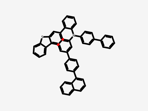 c1ccc(-c2ccc(N(c3cccc(-c4ccc(-c5cccc6ccccc56)cc4)c3)c3ccccc3-c3ccc4c(c3)sc3ccccc34)cc2)cc1